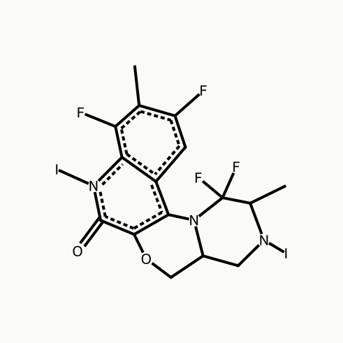 Cc1c(F)cc2c3c(c(=O)n(I)c2c1F)OCC1CN(I)C(C)C(F)(F)N31